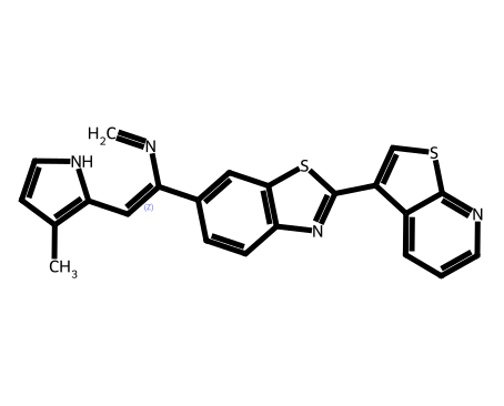 C=N/C(=C\c1[nH]ccc1C)c1ccc2nc(-c3csc4ncccc34)sc2c1